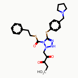 O=C(O)CC(=O)C(=O)CN1NN=C(Sc2ccc(CN3CCCC3)cc2)N1C(=O)SCCc1ccccc1